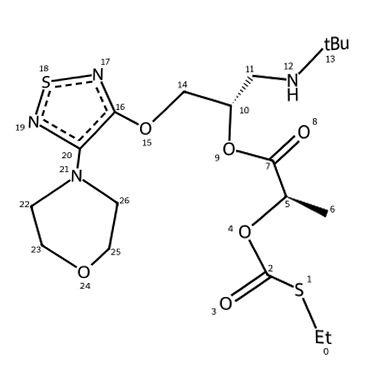 CCSC(=O)O[C@H](C)C(=O)O[C@@H](CNC(C)(C)C)COc1nsnc1N1CCOCC1